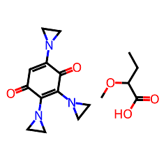 CCC(OC)C(=O)O.O=C1C=C(N2CC2)C(=O)C(N2CC2)=C1N1CC1